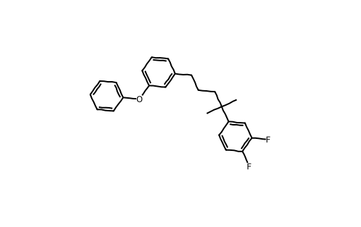 CC(C)(CCCc1cccc(Oc2ccccc2)c1)c1ccc(F)c(F)c1